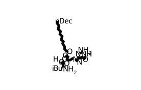 CCCCCCCCCCCCCCCCCCCCCC(=O)OCC(C)(CCn1cnc2c(=O)[nH]c(N)nc21)OC(=O)[C@@H](N)C(C)CC